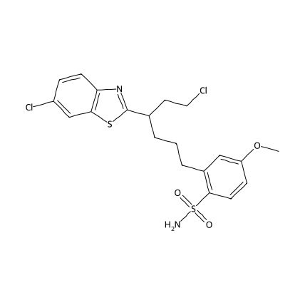 COc1ccc(S(N)(=O)=O)c(CCCC(CCCl)c2nc3ccc(Cl)cc3s2)c1